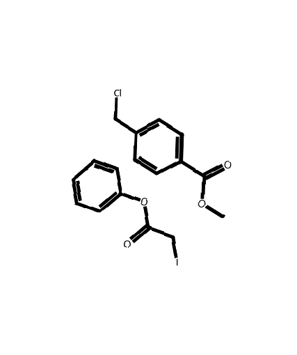 COC(=O)c1ccc(CCl)cc1.O=C(CI)Oc1ccccc1